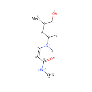 COC(CO)CC(C)N(C)/C=C\C(=O)NC=O